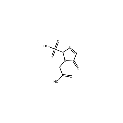 O=C(O)CN1C(=O)C=NC1S(=O)(=O)O